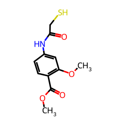 COC(=O)c1ccc(NC(=O)CS)cc1OC